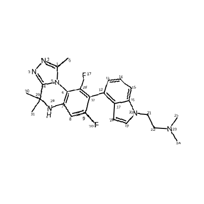 Cc1nnc2n1-c1c(cc(F)c(-c3cccc4c3ccn4CCN(C)C)c1F)NC2(C)C